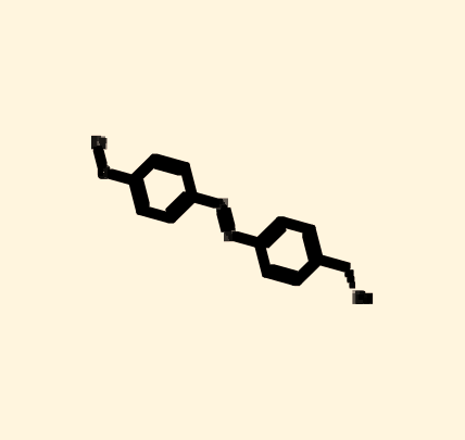 CCOc1ccc(/N=N/c2ccc(C[C@@H](C)CC)cc2)cc1